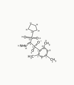 Cc1cc(C)c(S(=O)(=O)C(=[N+]=[N-])S(=O)(=O)C2CCCC2)c(C)c1